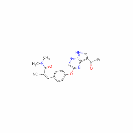 CC(C)C(=O)c1c[nH]c2ncc(Oc3ccc(C=C(C#N)C(=O)N(C)C)cc3)nc12